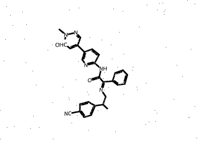 CC(C/N=C(/C(=O)Nc1ccc(C(/C=N\N(C)C)=C/C=O)cn1)c1ccccc1)c1ccc(C#N)cc1